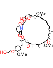 CO[C@H]1C[C@@H]2CC[C@@H](C)[C@@](O)(O2)C(=O)C(=O)N2CCCC[C@H]2C(=O)OC(C(C)C[C@@H]2CC[C@@H](OCCO)[C@H](OC)C2)CC(=O)C(C)/C=C(\C)[C@@H](C)[C@@H](OC)C(=O)[C@H](C)C[C@H](C)/C=C/C=C/C=C/1C